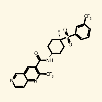 O=C(N[C@H]1CC[C@](F)(S(=O)(=O)c2cccc(C(F)(F)F)c2)CC1)c1cc2cnccc2nc1C(F)(F)F